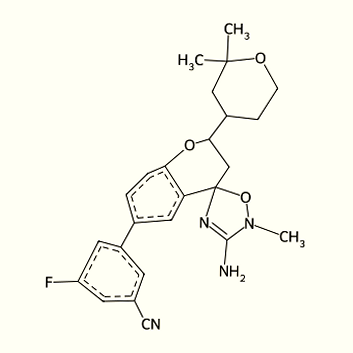 CN1OC2(CC(C3CCOC(C)(C)C3)Oc3ccc(-c4cc(F)cc(C#N)c4)cc32)N=C1N